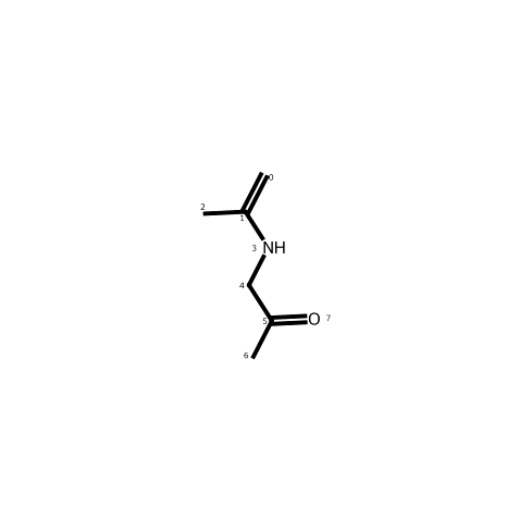 C=C(C)NCC(C)=O